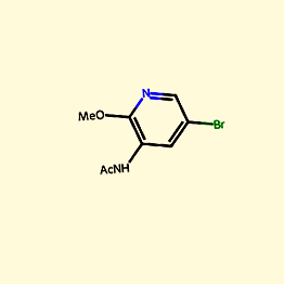 COc1ncc(Br)cc1NC(C)=O